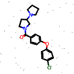 O=C(c1ccc(Oc2ccc(Cl)cc2)cc1)N1CCC(N2CCCC2)C1